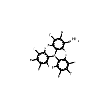 Fc1c(F)c(F)c(B(c2c(F)c(F)c(F)c(F)c2F)c2c(F)c(F)c(F)c(F)c2F)c(F)c1F.N